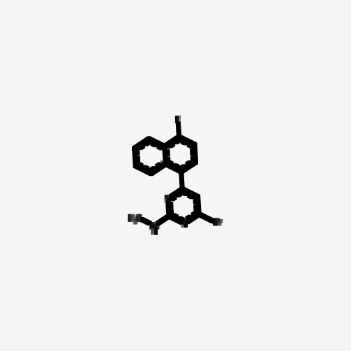 C[AsH]c1nc(-c2ccc(F)c3ccccc23)cc(C(C)C)n1